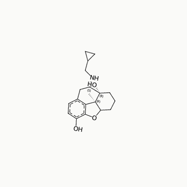 C[C@@]12c3c4ccc(O)c3OC1CCC[C@]2(O)[C@@H](NCC1CC1)C4